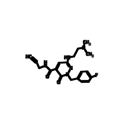 C#CCNC(=O)c1cc(NCCN(C)C)nn(Cc2ccc(F)cc2)c1=O